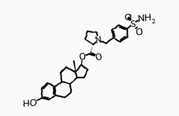 C[C@]12CCC3c4ccc(O)cc4CCC3C1CC[C@@H]2OC(=O)[C@@H]1CCCN1Cc1ccc(S(N)(=O)=O)cc1